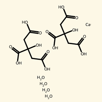 O.O.O.O.O=C(O)CC(O)(CC(=O)O)C(=O)O.O=C(O)CC(O)(CC(=O)O)C(=O)O.[Ca]